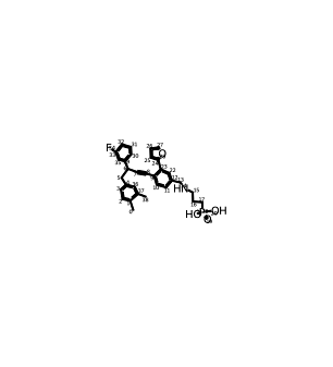 Cc1ccc(CC(C#Cc2ccc(CNCCCP(=O)(O)O)cc2-c2ccco2)c2cccc(F)c2)cc1C